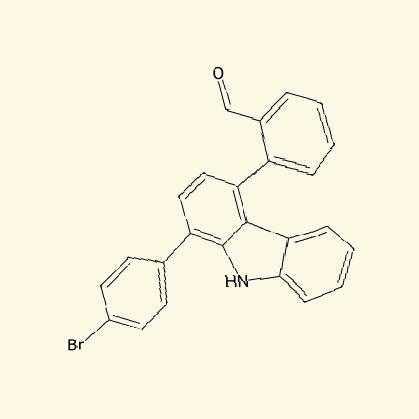 O=Cc1ccccc1-c1ccc(-c2ccc(Br)cc2)c2[nH]c3ccccc3c12